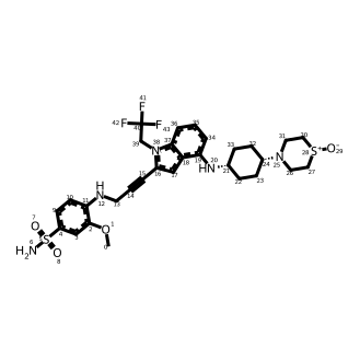 COc1cc(S(N)(=O)=O)ccc1NCC#Cc1cc2c(N[C@H]3CC[C@@H](N4CC[S+]([O-])CC4)CC3)cccc2n1CC(F)(F)F